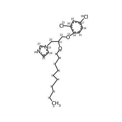 CCCCCCCCCCOC(COc1ccc(Cl)cc1Cl)Cn1ccnc1